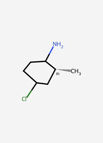 C[C@@H]1CC(Cl)CCC1N